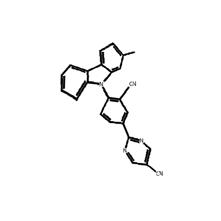 Cc1ccc2c3ccccc3n(-c3ccc(-c4ncc(C#N)cn4)cc3C#N)c2c1